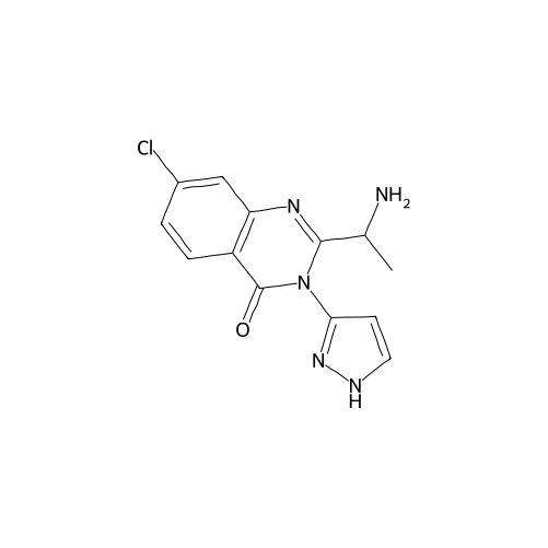 CC(N)c1nc2cc(Cl)ccc2c(=O)n1-c1cc[nH]n1